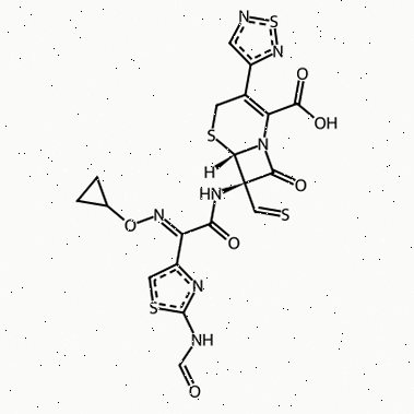 O=CNc1nc(C(=NOC2CC2)C(=O)N[C@]2(C=S)C(=O)N3C(C(=O)O)=C(c4cnsn4)CS[C@H]32)cs1